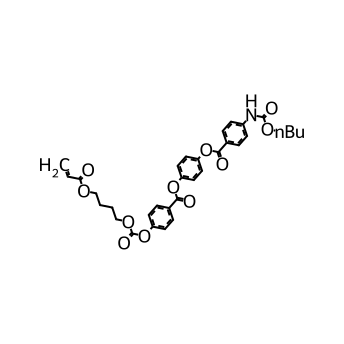 C=CC(=O)OCCCCOC(=O)Oc1ccc(C(=O)Oc2ccc(OC(=O)c3ccc(NC(=O)OCCCC)cc3)cc2)cc1